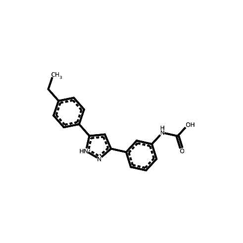 CCc1ccc(-c2cc(-c3cccc(NC(=O)O)c3)n[nH]2)cc1